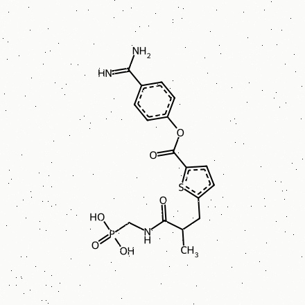 CC(Cc1ccc(C(=O)Oc2ccc(C(=N)N)cc2)s1)C(=O)NCP(=O)(O)O